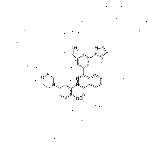 C=Cc1cc(-c2nccs2)cc(-c2nn(-c3cc(N4CCOCC4)ccc3[N+](=O)[O-])c(=O)c3ccccc23)c1